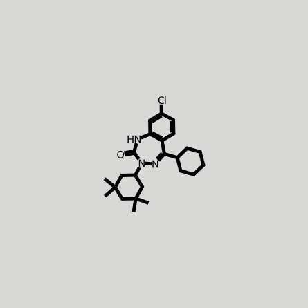 CC1(C)CC(N2N=C(C3CCCCC3)c3ccc(Cl)cc3NC2=O)CC(C)(C)C1